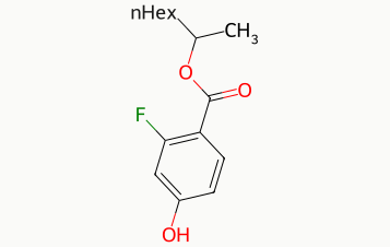 CCCCCCC(C)OC(=O)c1ccc(O)cc1F